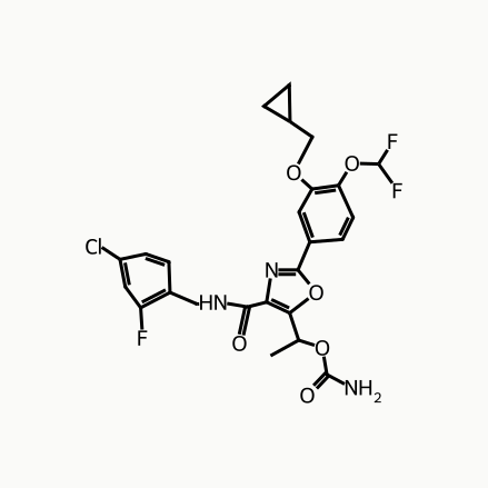 CC(OC(N)=O)c1oc(-c2ccc(OC(F)F)c(OCC3CC3)c2)nc1C(=O)NCc1ccc(Cl)cc1F